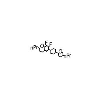 CCCC1CC=C(C2CCC(c3cc4c(c(F)c3F)OC(CCC)CC4)CC2)OC1